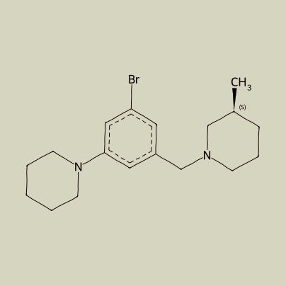 C[C@H]1CCCN(Cc2cc(Br)cc(N3CCCCC3)c2)C1